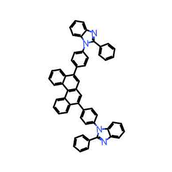 c1ccc(-c2nc3ccccc3n2-c2ccc(-c3cc4cc(-c5ccc(-n6c(-c7ccccc7)nc7ccccc76)cc5)c5ccccc5c4c4ccccc34)cc2)cc1